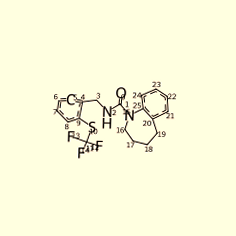 O=C(NCc1ccccc1SC(F)(F)F)N1CCCCc2ccccc21